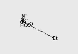 CC/C=C/C/C=C/C/C=C/C/C=C/C/C=C/C/C=C/CCC(=O)OC[C@@H](O)COP(=O)([O-])OCC[N+](C)(C)C